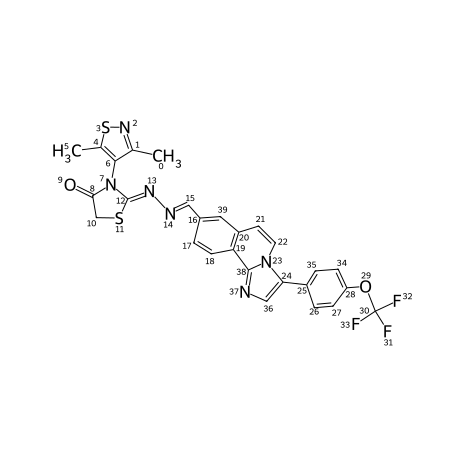 Cc1nsc(C)c1N1C(=O)CS/C1=N\N=C\c1ccc2c(ccn3c(-c4ccc(OC(F)(F)F)cc4)cnc23)c1